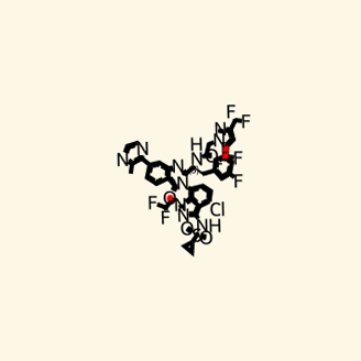 Cc1nccnc1-c1ccc2c(=O)n(-c3ccc(Cl)c4c(NS(=O)(=O)C5CC5)nn(CC(F)F)c34)c([C@H](Cc3cc(F)cc(F)c3)NC(=O)Cn3nc(C(F)F)cc3C(F)F)nc2c1